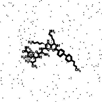 CCCCc1ccc(-c2ccc(C(=O)NC(CCCCN)C(=O)N[C@@H](CCCCN)C(=O)N[C@@H](N)C(=O)N[C@@H](CC(C)C)C(=O)N[C@@H](C)C(=O)C(N)=O)cc2)cc1